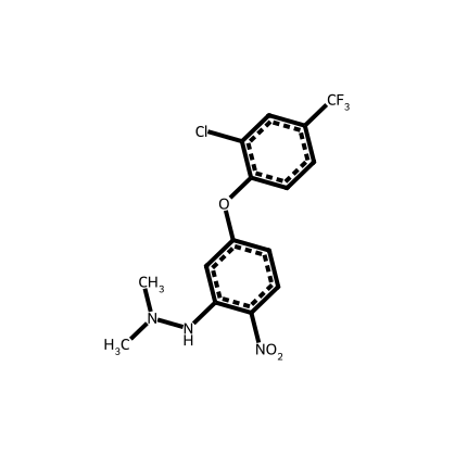 CN(C)Nc1cc(Oc2ccc(C(F)(F)F)cc2Cl)ccc1[N+](=O)[O-]